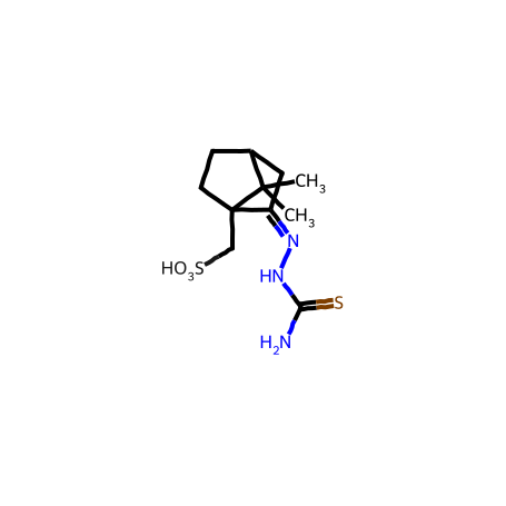 CC1(C)C2CCC1(CS(=O)(=O)O)C(=NNC(N)=S)C2